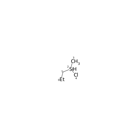 CCC[SiH](C)Cl